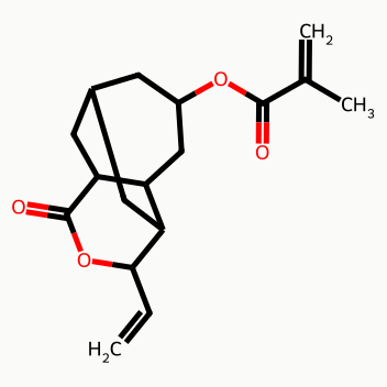 C=CC1OC(=O)C2CC3CC(OC(=O)C(=C)C)CC2C1C3